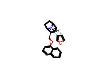 CN1C2CCC1[C@H](COc1cccc3ccccc13)[C@@H](c1ccoc1)C2